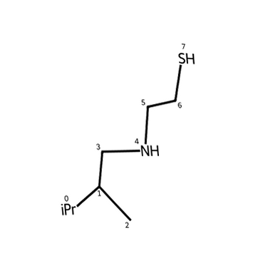 CC(C)C(C)CNCCS